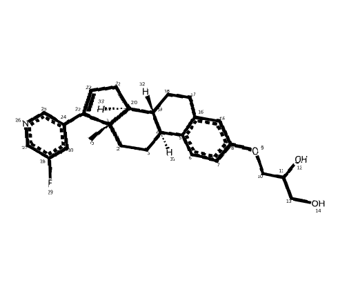 C[C@]12CC[C@@H]3c4ccc(OCC(O)CO)cc4CC[C@H]3[C@@H]1CC=C2c1cncc(F)c1